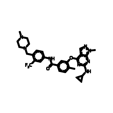 Cc1ccc(C(=O)Nc2ccc(CN3CCN(C)CC3)c(C(F)(F)F)c2)cc1Oc1nc(NC2CC2)nc2c1cnn2C